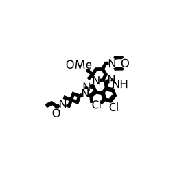 C=CC(=O)N1CC2(CC(n3nc(N4CCC(CN5CCOCC5)CC4(C)COC)c(-c4c(Cl)c(Cl)cc5[nH]ncc45)c3C)C2)C1